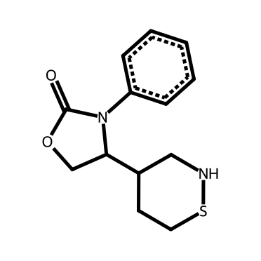 O=C1OCC(C2CCSNC2)N1c1ccccc1